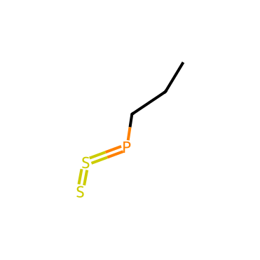 CCCP=S=S